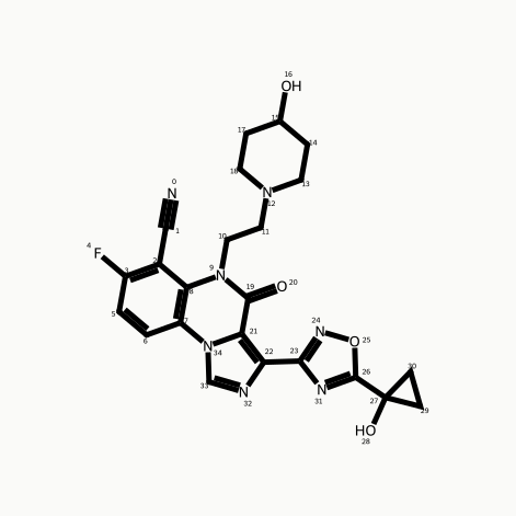 N#Cc1c(F)ccc2c1n(CCN1CCC(O)CC1)c(=O)c1c(-c3noc(C4(O)CC4)n3)ncn12